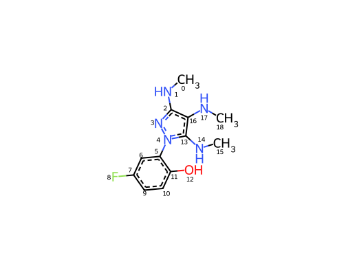 CNc1nn(-c2cc(F)ccc2O)c(NC)c1NC